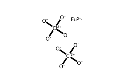 [Eu+2].[O-][Cl+3]([O-])([O-])[O-].[O-][Cl+3]([O-])([O-])[O-]